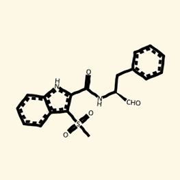 CS(=O)(=O)c1c(C(=O)N[C@H](C=O)Cc2ccccc2)[nH]c2ccccc12